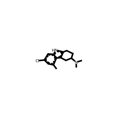 Cc1cc(Cl)cc2[nH]c3c(c12)CC(N(C)C)CC3